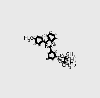 Cc1ccc(-c2nc(-c3cccc(B4OC(C)(C)C(C)(C)O4)c3)nc3ccccc23)cc1